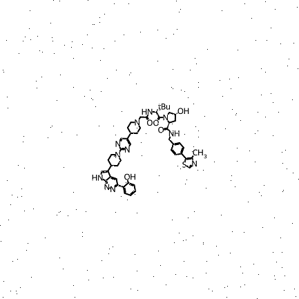 Cc1ncsc1-c1ccc(CNC(=O)[C@@H]2C[C@@H](O)CN2C(=O)[C@@H](NC(=O)CN2CCC(c3cnc(N4CCC(c5c[nH]c6nnc(-c7ccccc7O)cc56)CC4)nc3)CC2)C(C)(C)C)cc1